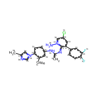 C=C(/N=c1/c(-c2ccc(F)c(F)c2)cc(Cl)cn1N)Nc1ccc(-n2cnc(C)c2)c(OC)c1